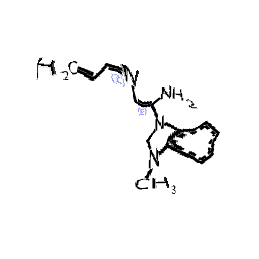 C=C/C=N\C=C(/N)N1CN(C)c2ccccc21